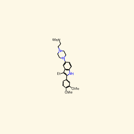 CCc1c(-c2ccc(OC)c(OC)c2)[nH]c2ccc(N3CCN(CCNC)CC3)cc12